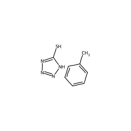 Cc1ccccc1.Sc1nnn[nH]1